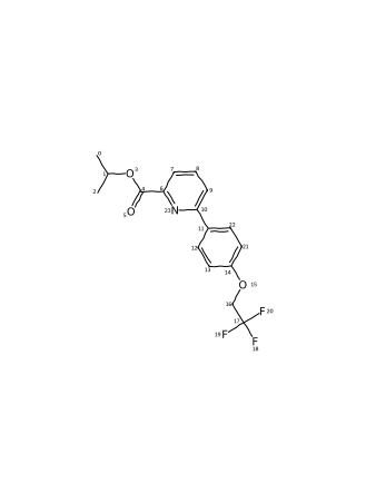 CC(C)OC(=O)c1cccc(-c2ccc(OCC(F)(F)F)cc2)n1